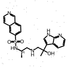 C[C@H](CNCC(C)(O)c1c[nH]c2ncccc12)NS(=O)(=O)c1ccc2cnccc2c1